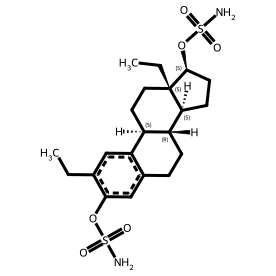 CCc1cc2c(cc1OS(N)(=O)=O)CC[C@@H]1[C@@H]2CC[C@]2(CC)[C@@H](OS(N)(=O)=O)CC[C@@H]12